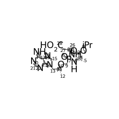 CC(C)OC(=O)[C@H](C)NP(=O)(CO[C@H](C)Cn1cnc2c(N)ncnc21)N[C@@H](C)CC(=O)O